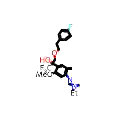 CCN(C)C=Nc1cc(OC)c(C(O)(COCCc2ccc(F)cc2)C(F)(F)F)cc1C